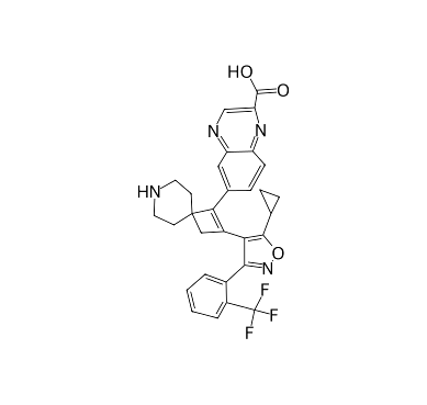 O=C(O)c1cnc2cc(C3=C(c4c(-c5ccccc5C(F)(F)F)noc4C4CC4)CC34CCNCC4)ccc2n1